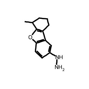 CC1CCCc2c1oc1ccc(NN)cc21